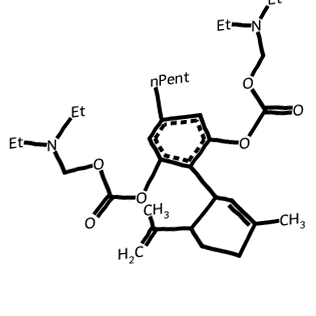 C=C(C)C1CCC(C)=CC1c1c(OC(=O)OCN(CC)CC)cc(CCCCC)cc1OC(=O)OCN(CC)CC